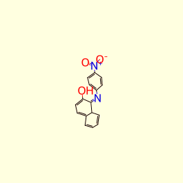 O=[N+]([O-])c1ccc(N=C2C(O)=CC=C3C=CC=CC32)cc1